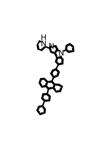 C1=CCNC(c2cc3c4cc(-c5ccc(-c6c7ccccc7c(-c7ccc(-c8ccccc8)cc7)c7ccccc67)cc5)ccc4n(-c4ccccc4)c3cn2)=C1